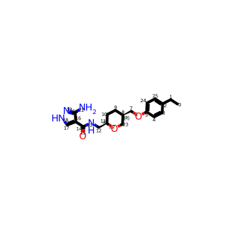 CCc1ccc(OC[C@@H]2CC[C@H](CNC(=O)c3c[nH]nc3N)OC2)cc1